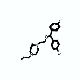 CCCN1CCN(CCOC(c2ccc(F)cc2)c2ccc(Cl)cc2)CC1